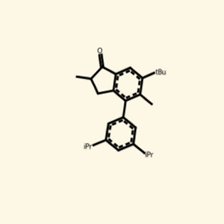 Cc1c(C(C)(C)C)cc2c(c1-c1cc(C(C)C)cc(C(C)C)c1)CC(C)C2=O